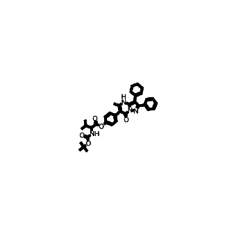 Cc1[nH]c2c(C3=CCCCC3)c(-c3ccccc3)nn2c(=O)c1-c1ccc(OC(=O)C(NC(=O)OC(C)(C)C)C(C)C)cc1